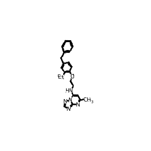 CCc1cc(Cc2ccccc2)ccc1OCCNc1cc(C)nc2ncnn12